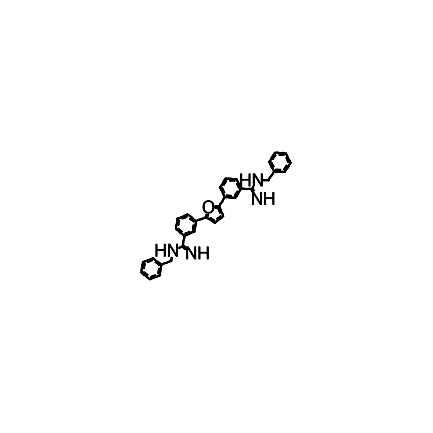 N=C(NCc1ccccc1)c1cccc(-c2ccc(-c3cccc(C(=N)NCc4ccccc4)c3)o2)c1